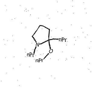 CCCOC1(CCC)CCCN1CCC